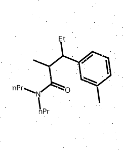 CCCN(CCC)C(=O)C(C)C(CC)c1cccc(C)c1